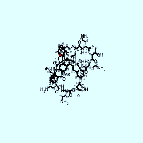 CNC(=O)c1ccccc1Sc1ccc2c(/C=C/c3ccccn3)nn(C(=O)N(C)C3(CSSCC(=O)N[C@H](CCN)C(=O)N[C@H](C(=O)N[C@H](CCN)C(=O)N[C@H]4CCNC(=O)[C@@H]([C@@H](C)O)NC(=O)[C@@H](CCN)NC(=O)[C@@H](CCN)NC(=O)[C@@H](CC(C)C)NC(=O)[C@@H](Cc5ccccc5)NC(=O)[C@@H](CCN)NC4=O)[C@@H](C)O)CCC3)c2c1